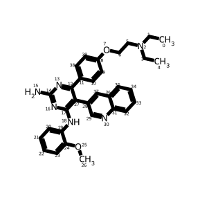 CCN(CC)CCOc1ccc(-c2nc(N)nc(Nc3ccccc3OC)c2-c2cnc3ccccc3c2)cc1